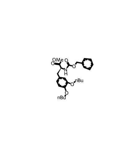 CCCCOc1ccc(C[C@H](NC(=O)OCc2ccccc2)C(=O)OC)cc1OCCCC